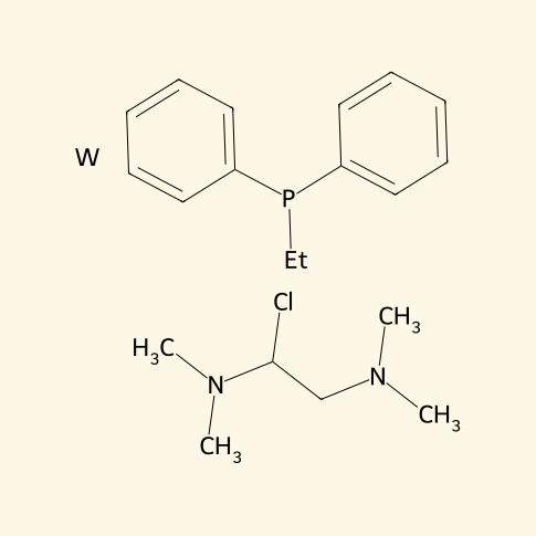 CCP(c1ccccc1)c1ccccc1.CN(C)CC(Cl)N(C)C.[W]